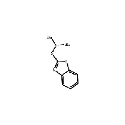 CC(C)(C)N(Sc1nc2ccccc2s1)C(C)(C)C